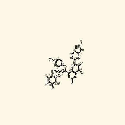 Cc1cc([C@@H](C)Oc2ccc(Cl)nc2S(=O)(=O)Oc2c(F)c(F)c(F)c(F)c2F)c2oc(-c3ccc4nn(C)cc4n3)c(C)c(=O)c2c1